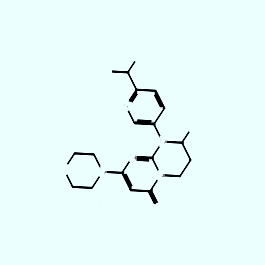 C[C@@H]1COCCN1c1cc(=O)n2c(n1)N(c1ccc(C(F)F)nc1)C(C(F)(F)F)CC2